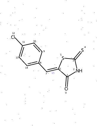 O=C1NC(=S)S/C1=C\c1ccc(Cl)cc1